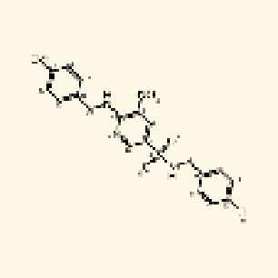 O=[N+]([O-])c1cc(S(=O)(=O)NCc2ccc(Cl)cc2)cnc1NCc1ccc(Cl)cc1